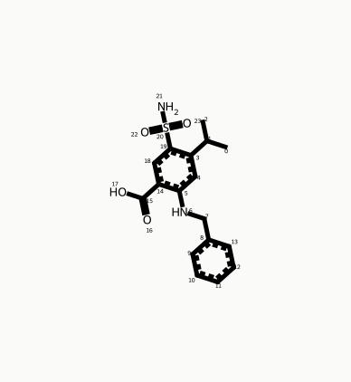 CC(C)c1cc(NCc2ccccc2)c(C(=O)O)cc1S(N)(=O)=O